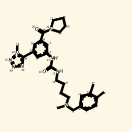 Cc1ccc(CN(C)CCCCNC(=O)Nc2cc(C(=O)N3CCCC3)cc(-c3nnnn3C)c2)cc1C